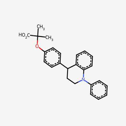 CC(C)(Oc1ccc(C2CCN(c3ccccc3)c3ccccc32)cc1)C(=O)O